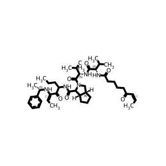 C/C=C\C(=O)CCCCC(=O)N[C@H](C(=O)N[C@H](C(=O)N1C[C@@H]2CCC[C@@H]2C1C(=O)NC(CCC)C(=O)/C(=C\C)N[C@@H](C)c1ccccc1)C(C)C)C(C)C